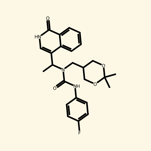 CC(c1c[nH]c(=O)c2ccccc12)N(CC1COC(C)(C)OC1)C(=O)Nc1ccc(F)cc1